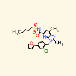 CCCCCS(=O)(=O)NC(=O)c1cc(C)c2nc(C)n(Cc3ccc(-c4ccco4)cc3Cl)c2n1